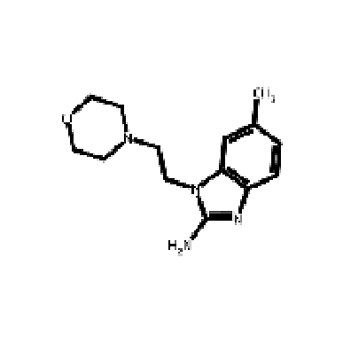 Cc1ccc2nc(N)n(CCN3CCOCC3)c2c1